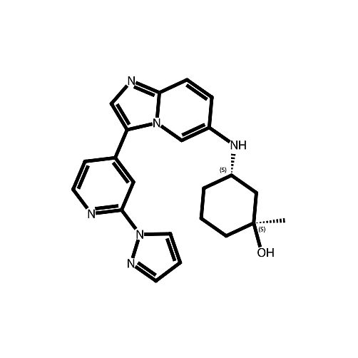 C[C@]1(O)CCC[C@H](Nc2ccc3ncc(-c4ccnc(-n5cccn5)c4)n3c2)C1